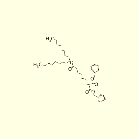 CCCCCCCCC(CCCCCCCC)OC(=O)CCCCCCC(C(=O)OCc1ccccc1)C(=O)OCc1ccccc1